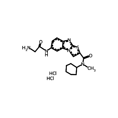 CN(C(=O)c1cn2c(nc3ccc(NC(=O)CN)cc32)s1)C1CCCCC1.Cl.Cl